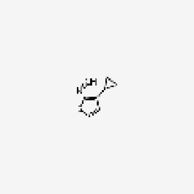 C#N.c1cc(C2CC2)cs1